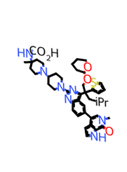 CC(C)CC(COC1CCCCO1)(c1cccs1)c1nc(N2CCC(N3CCC(C)(NC(=O)O)CC3)CC2)nc2ccc(-c3cn(C)c(=O)c4[nH]ccc34)cc12